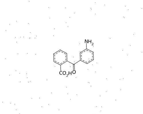 Nc1cccc(C(=O)c2ccccc2C(=O)O)c1